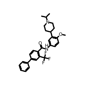 COc1ccc(NC(=O)c2ccc(-c3ccccc3)cc2C(F)(F)F)cc1C1CCN(C(C)C)CC1